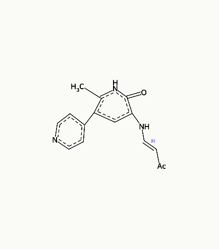 CC(=O)/C=C/Nc1cc(-c2ccncc2)c(C)[nH]c1=O